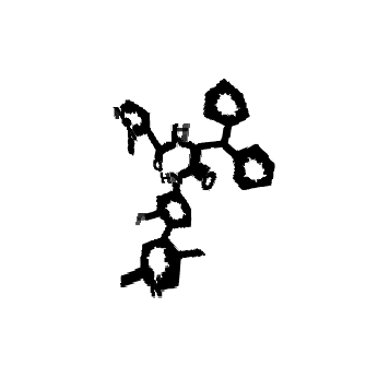 Cc1cc(-c2ccc(NC(=O)[C@@H](NC(=O)c3ccnn3C)C(c3ccccc3)c3ccccc3)cc2F)c(C)cn1